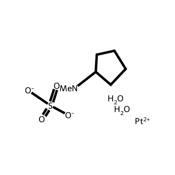 CNC1CCCC1.O.O.O=S(=O)([O-])[O-].[Pt+2]